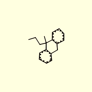 CCCC1(C)c2ccccc2Cc2ccccc21